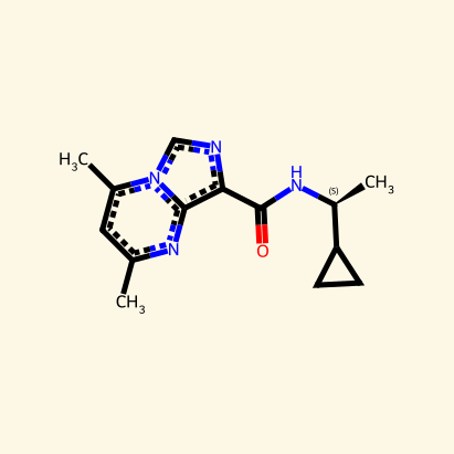 Cc1cc(C)n2cnc(C(=O)N[C@@H](C)C3CC3)c2n1